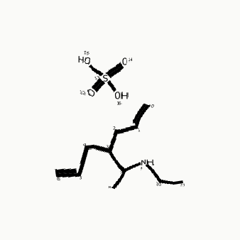 C=CCC(CC=C)C(C)NCC.O=S(=O)(O)O